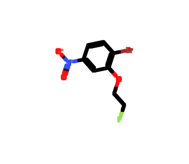 O=[N+]([O-])c1ccc(Br)c(OCCF)c1